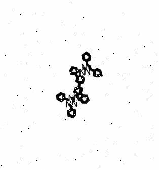 c1ccc(-c2cc(-c3ccccc3)nc(-n3c4ccccc4c4cc(-c5ccc6c(c5)c5ccccc5n6-c5nc(-c6ccccc6)nc(-c6ccccc6)n5)ccc43)n2)cc1